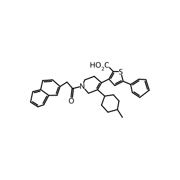 CC1CCC(C2=C(c3cc(-c4ccccc4)sc3C(=O)O)CCN(C(=O)Cc3ccc4ccccc4c3)C2)CC1